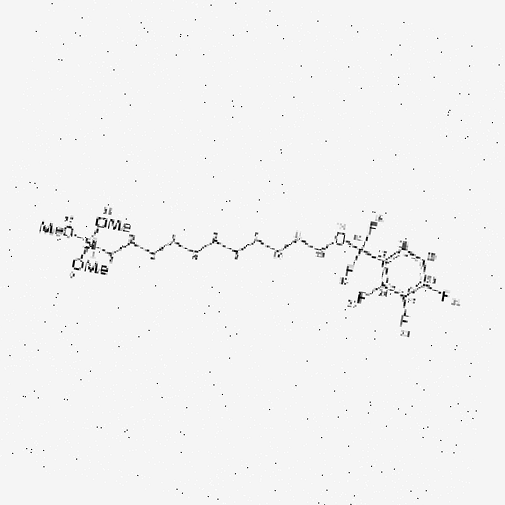 CO[Si](CCCCCCCCCCCOC(F)(F)c1ccc(F)c(F)c1F)(OC)OC